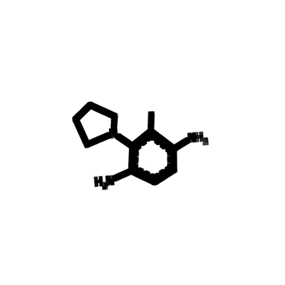 Cc1c(N)ccc(N)c1N1CCCC1